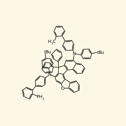 Cc1ccccc1-c1ccc(N(c2ccc(C(C)(C)C)cc2)c2cc3c(c4ccccc24)-c2c(c(N(c4ccc(-c5ccccc5P)cc4)c4ccc(C(C)(C)C)cc4)cc4oc5ccccc5c24)C3(c2ccccc2)c2ccccc2)cc1